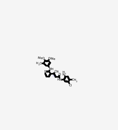 COc1cc(Nc2ncccc2/C(C#N)=C/C(=O)Nc2cc(Cl)c(C)cc2N)cc(C)c1OC